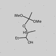 CCC(O)[SiH](C)OC(C)(OC)OC